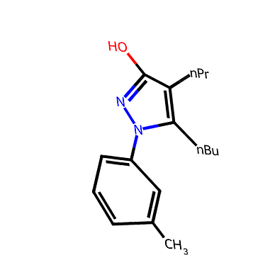 CCCCc1c(CCC)c(O)nn1-c1cccc(C)c1